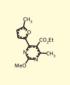 CCOC(=O)c1c(C)nc(OC)nc1-c1ccc(C)o1